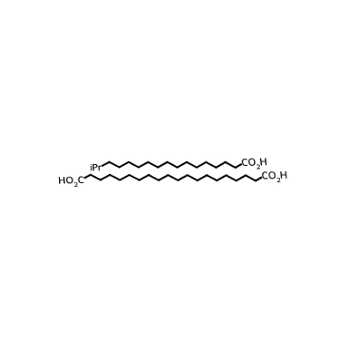 CC(C)CCCCCCCCCCCCCCC(=O)O.O=C(O)CCCCCCCCCCCCCCCCCCC(=O)O